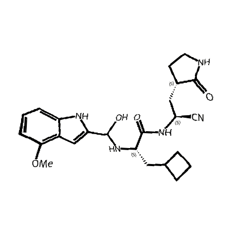 COc1cccc2[nH]c(C(O)N[C@@H](CC3CCC3)C(=O)N[C@H](C#N)C[C@@H]3CCNC3=O)cc12